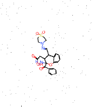 NC1(C(=O)c2ccccc2)Oc2ccccc2C(C=NN2CCS(=O)(=O)CC2)C1CC(=O)O